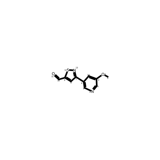 COc1cncc(-c2cc(C=O)sn2)c1